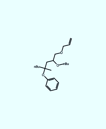 C=CCOCC(CC(C)(CCCC)Oc1ccccc1)OCCCC